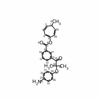 CC1C=CC=C(OC(=O)c2cccc(C(=O)C(C)(C)Oc3ccc(N)cc3)c2)C=C1